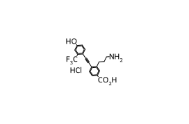 Cl.NCCCc1cc(C(=O)O)ccc1C#Cc1ccc(O)cc1C(F)(F)F